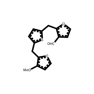 COc1ccoc1Cc1ccc(Cc2occc2C=O)s1